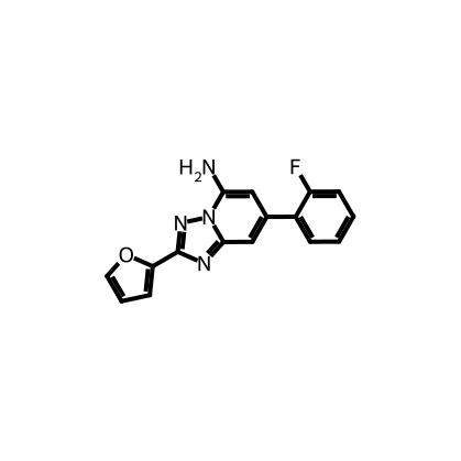 Nc1cc(-c2ccccc2F)cc2nc(-c3ccco3)nn12